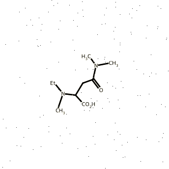 CCN(C)C(CC(=O)N(C)C)C(=O)O